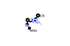 CN[C@H]1C[C@H](n2cc(-c3cccc(F)c3Cc3nc4c(N)nc(-c5cccc(C#N)c5F)cn4n3)cn2)C1